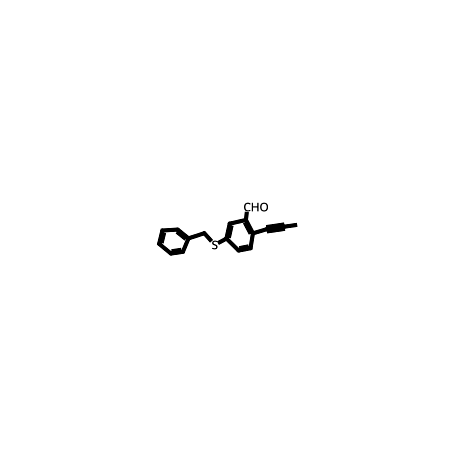 CC#Cc1ccc(SCc2ccccc2)cc1C=O